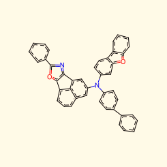 c1ccc(-c2ccc(N(c3cc4c5c(cccc5c3)-c3oc(-c5ccccc5)nc3-4)c3ccc4c(c3)oc3ccccc34)cc2)cc1